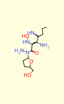 CCCC(=N)/C(N)=C(\NO)C(=O)N(N)C1CCC(CO)O1